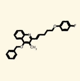 Cc1c(/C=C/CCCOc2ccc(F)cc2)nc2ccccc2c1OCc1ccccc1